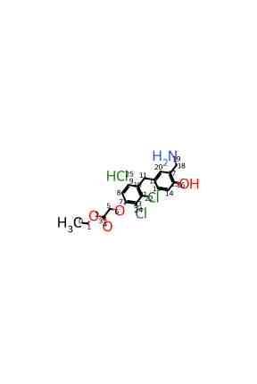 CCOC(=O)COc1ccc(Cc2ccc(O)c(CN)c2)c(Cl)c1Cl.Cl